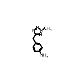 Cn1nnc(Cc2ccc(N)cc2)n1